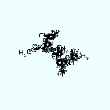 CCOC(=O)COC(=O)c1cc(Oc2ccc(C(F)(F)F)cc2Cl)ccc1[N+](=O)[O-].COc1c(Cl)ccc(Cl)c1C(=O)O.COc1nc(C)nc(NC(=O)NS(=O)(=O)c2ccccc2CCC(F)(F)F)n1